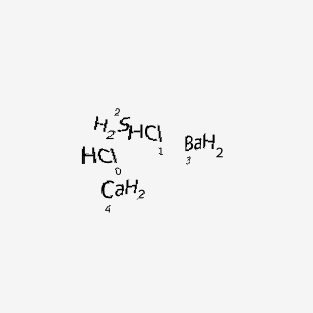 Cl.Cl.S.[BaH2].[CaH2]